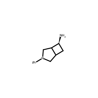 CC(C)N1CC2C[C@H](N)C2C1